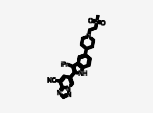 CC(C)c1c(-c2cc(C#N)c3ncnn3c2)[nH]c2ccc(C3CCN(CCS(C)(=O)=O)CC3)cc12